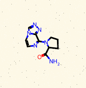 NC(=O)C1[CH]CCN1c1nccn2cnnc12